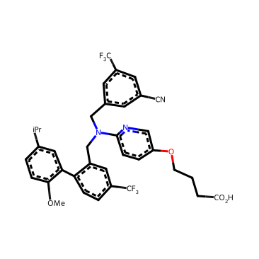 COc1ccc(C(C)C)cc1-c1ccc(C(F)(F)F)cc1CN(Cc1cc(C#N)cc(C(F)(F)F)c1)c1ccc(OCCCC(=O)O)cn1